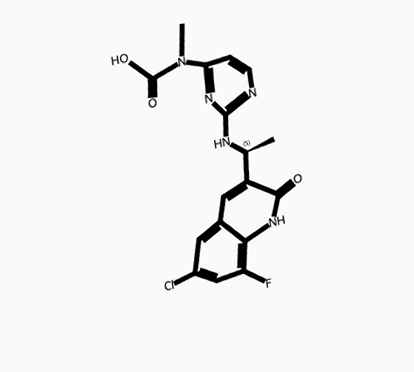 C[C@H](Nc1nccc(N(C)C(=O)O)n1)c1cc2cc(Cl)cc(F)c2[nH]c1=O